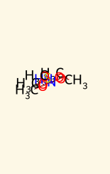 CCCCCC(CCCCC)CCOC(=O)CCCCCCCN(CCCCCCCC(=O)OCCC(CCCCC)CCCCC)CCCNSCCOC